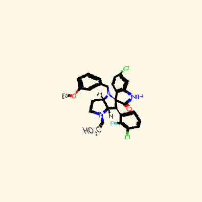 CCOc1cccc(CN2[C@H]3CCN(CC(=O)O)[C@H]3[C@H](c3cccc(Cl)c3F)[C@]23C(=O)Nc2cc(Cl)ccc23)c1